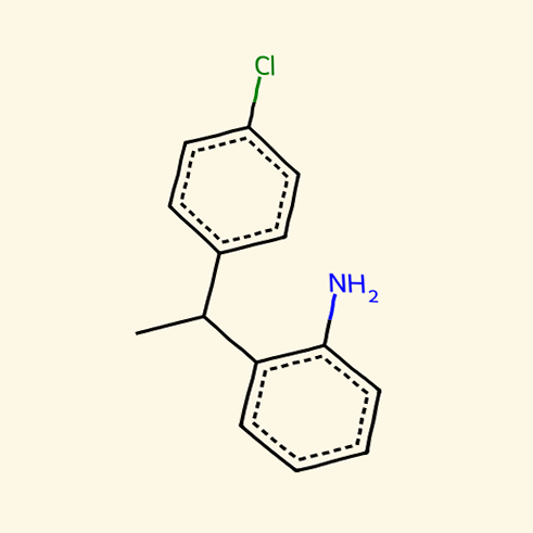 CC(c1ccc(Cl)cc1)c1ccccc1N